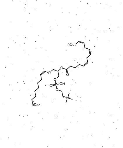 CCCCCCCC/C=C\C/C=C\C/C=C\CCCC(=O)O[C@H](CO/C=C\CCCCCCCCCCCCCCCC)COP(=O)(O)OCC[N+](C)(C)C